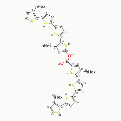 CCCCCCc1ccsc1-c1ccc(-c2ccc(-c3sc(OC(=O)c4cc(CCCCCC)c(-c5ccc(-c6ccc(-c7sccc7CCCCCC)s6)s5)s4)cc3CCCCCC)s2)s1